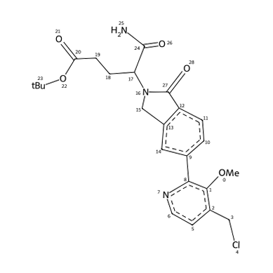 COc1c(CCl)ccnc1-c1ccc2c(c1)CN(C(CCC(=O)OC(C)(C)C)C(N)=O)C2=O